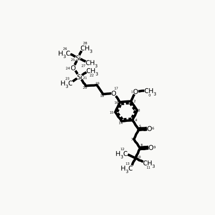 COc1cc(C(=O)CC(=O)C(C)(C)C)ccc1OCCC[Si](C)(C)O[Si](C)(C)C